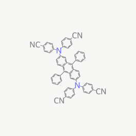 [C-]#[N+]c1ccc(N(c2ccc(C#N)cc2)c2ccc3c(-c4ccccc4)c4cc(N(c5ccc(C#N)cc5)c5ccc(C#N)cc5)ccc4c(-c4ccccc4)c3c2)cc1